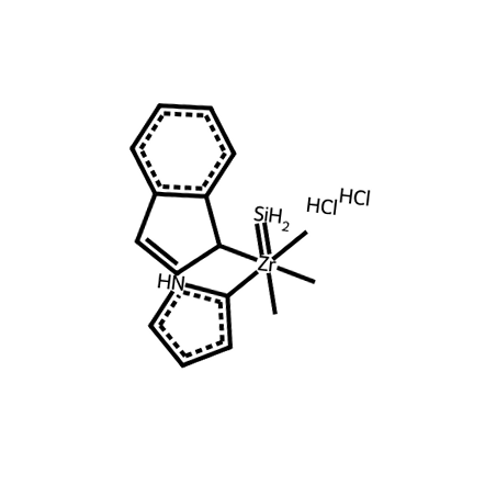 Cl.Cl.[CH3][Zr]([CH3])([CH3])(=[SiH2])([c]1ccc[nH]1)[CH]1C=Cc2ccccc21